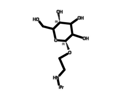 CC(C)NCCO[C@@H]1OC(CO)[C@H](O)C(O)C1O